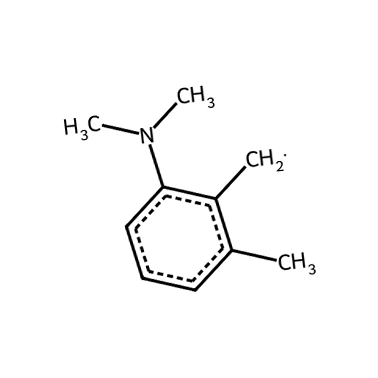 [CH2]c1c(C)cccc1N(C)C